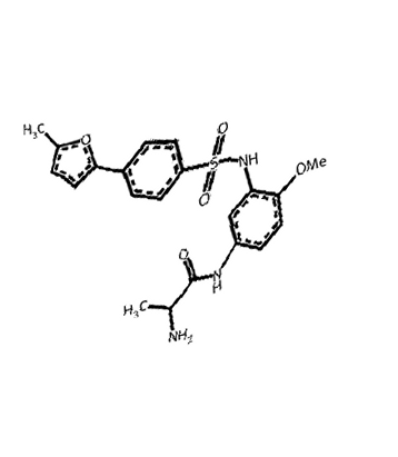 COc1ccc(NC(=O)C(C)N)cc1NS(=O)(=O)c1ccc(-c2ccc(C)o2)cc1